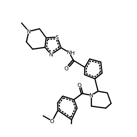 COc1ccc(C(=O)N2CCCCC2c2cccc(C(=O)Nc3nc4c(s3)CN(C)CC4)c2)cc1C